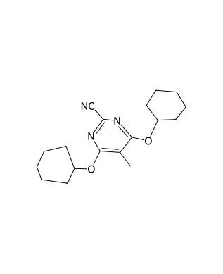 Cc1c(OC2CCCCC2)nc(C#N)nc1OC1CCCCC1